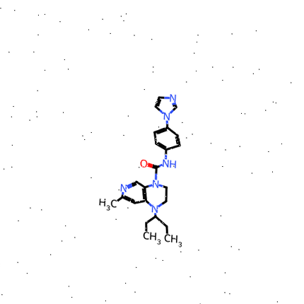 CCC(CC)N1CCN(C(=O)Nc2ccc(-n3ccnc3)cc2)c2cnc(C)cc21